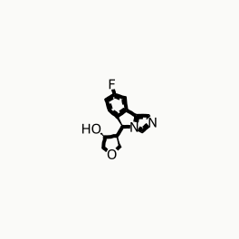 O[C@H]1COC[C@@H]1[C@H]1c2ccc(F)cc2-c2cncn21